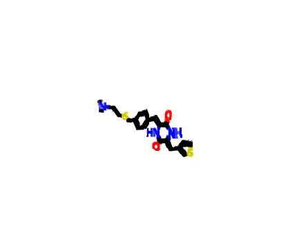 CN(C)CCSCc1ccc(C=c2[nH]c(=O)c(=Cc3ccsc3)[nH]c2=O)cc1